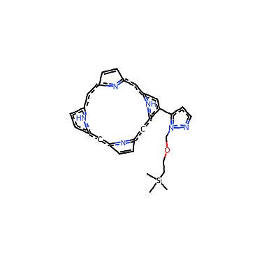 C[Si](C)(C)CCOCn1nccc1-c1cc2cc3nc(cc4ccc(cc5nc(cc1[nH]2)C=C5)[nH]4)C=C3